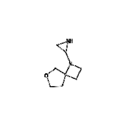 C1CC2(CCN2C2CN2)CO1